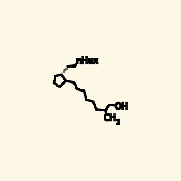 CCCCCC/C=C/[C@H]1CCC[C@@H]1CCCCCCC(C)CO